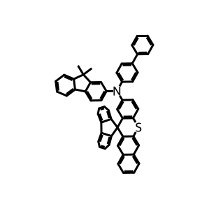 CC1(C)c2ccccc2-c2ccc(N(c3ccc(-c4ccccc4)cc3)c3ccc4c(c3)C3(c5cc6ccccc6cc5S4)c4ccccc4-c4ccccc43)cc21